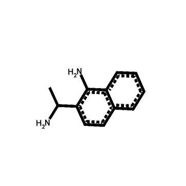 CC(N)c1ccc2ccccc2c1N